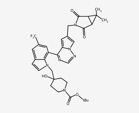 CC(C)(C)OC(=O)N1CCC(O)(Cn2ccc3cc(C(F)(F)F)cc(-c4ncnn5cc(CN6C(=O)C7C(C6=O)C7(C)C)cc45)c32)CC1